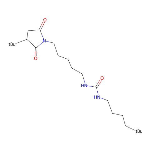 CC(C)(C)CCCCNC(=O)NCCCCCN1C(=O)CC(C(C)(C)C)C1=O